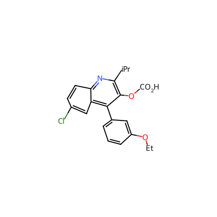 CCOc1cccc(-c2c(OC(=O)O)c(C(C)C)nc3ccc(Cl)cc23)c1